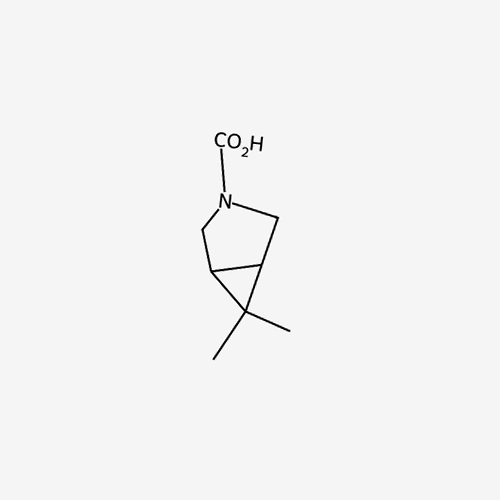 CC1(C)C2CN(C(=O)O)CC21